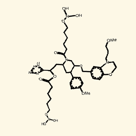 COCCCN1CCOc2ccc(COC3CN(C(=O)CCCCCON(O)O)C(CC(OC(=O)CCCCCON(O)O)c4nnn[nH]4)CC3c3ccc(OC)cc3)cc21